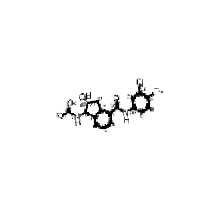 O=C(O)N[C@@H]1c2cccc(C(=O)Nc3ccc(F)c(Cl)c3)c2C[C@H]1O